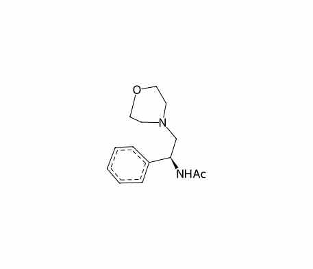 CC(=O)N[C@H](CN1CCOCC1)c1ccccc1